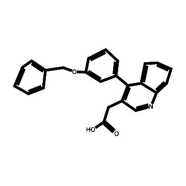 O=C(O)Cc1cnc2ccccc2c1-c1cccc(OCc2ccccc2)c1